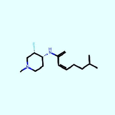 C=C(/C=C\CCC(C)C)N[C@@H]1CCN(C)C[C@@H]1F